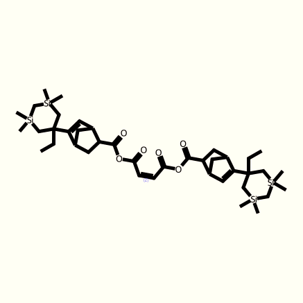 CCC1(C2=CC3CC2CC3C(=O)OC(=O)/C=C\C(=O)OC(=O)C2CC3CC2C=C3C2(CC)C[Si](C)(C)C[Si](C)(C)C2)C[Si](C)(C)C[Si](C)(C)C1